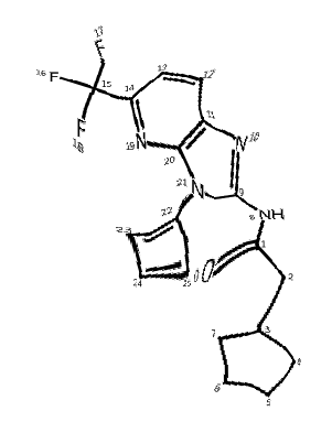 O=C(CC1CCCC1)Nc1nc2ccc(C(F)(F)F)nc2n1C1=CC=C1